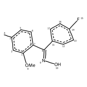 COc1cc(C)ccc1C(=NO)c1ccc(F)cc1